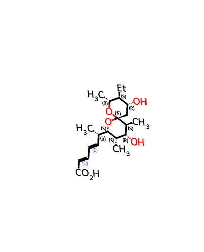 CC[C@H]1[C@H](O)C[C@@]2(O[C@@H]([C@@H](C)/C=C/C=C/C(=O)O)[C@@H](C)[C@@H](O)[C@@H]2C)O[C@@H]1C